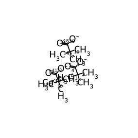 CC(C)(C)C(=O)[O-].CC(C)(C)C(=O)[O-].CC(C)(C)C(=O)[O-].[Ga+3]